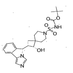 CC(C)(C)OC(=O)NS(=O)(=O)N1CCC2(CC1)C[C@@H]([C@H]1c3ccccc3-c3cncn31)[C@H]2O